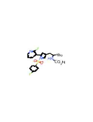 CC(C)(C)C(Cc1cc(-c2cccnc2F)n(S(=O)(=O)c2ccc(F)cc2)c1)NC(=O)O